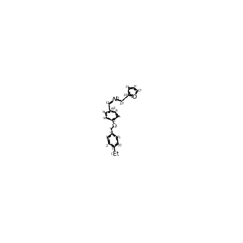 CCc1ccc(COc2ccc(/C=N\Cc3ccco3)cc2)cc1